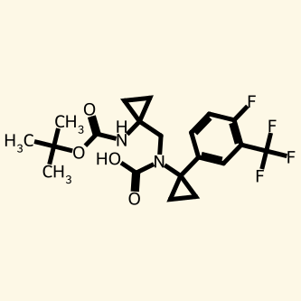 CC(C)(C)OC(=O)NC1(CN(C(=O)O)C2(c3ccc(F)c(C(F)(F)F)c3)CC2)CC1